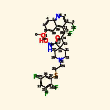 COc1ccc2ncc(CF)c([C@H](F)CCC3(C(=O)NO)CCN(CCSc4cc(F)cc(F)c4F)CC3)c2c1